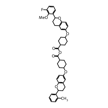 COc1c(F)cccc1C1CCc2cc(OC3CCC(C(=O)OC(=O)C4CCC(Oc5ccc6c(c5)CCC(c5ccccc5C)O6)CC4)CC3)ccc2O1